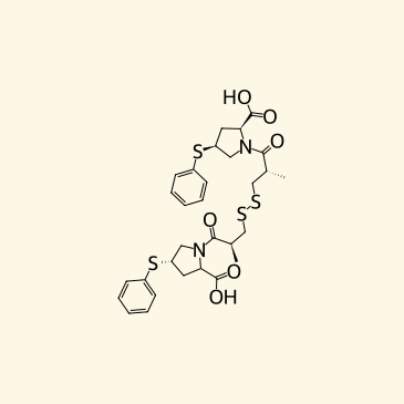 C[C@H](CSSC[C@@H](C)C(=O)N1C[C@@H](Sc2ccccc2)C[C@H]1C(=O)O)C(=O)N1C[C@@H](Sc2ccccc2)CC1C(=O)O